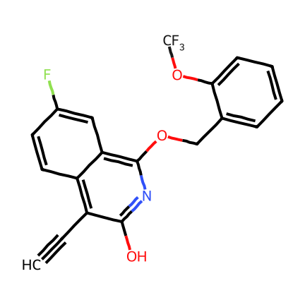 C#Cc1c(O)nc(OCc2ccccc2OC(F)(F)F)c2cc(F)ccc12